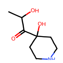 CC(O)C(=O)C1(O)CCNCC1